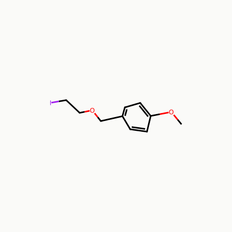 COc1ccc(COCCI)cc1